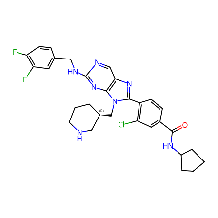 O=C(NC1CCCC1)c1ccc(-c2nc3cnc(NCc4ccc(F)c(F)c4)nc3n2C[C@@H]2CCCNC2)c(Cl)c1